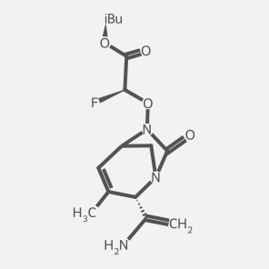 C=C(N)[C@@H]1C(C)=CC2CN1C(=O)N2O[C@@H](F)C(=O)O[C@H](C)CC